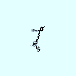 CCCCCCCCCCC(CCCCCCCOP(=O)([O-])OCC[N+](C)(C)C)c1ccc(I)cc1